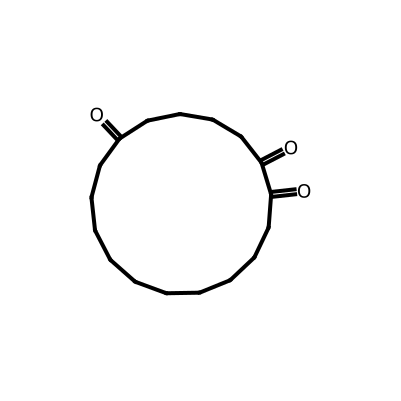 O=C1CCCCCCCCCCC(=O)C(=O)CCCC1